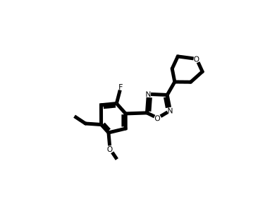 CCc1cc(F)c(-c2nc(C3CCOCC3)no2)cc1OC